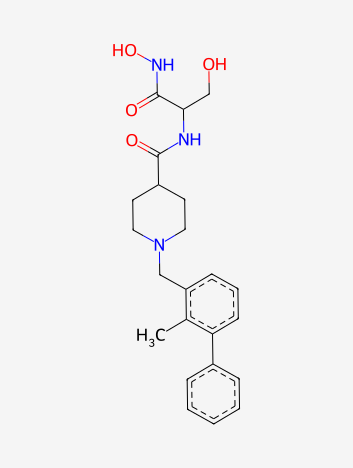 Cc1c(CN2CCC(C(=O)NC(CO)C(=O)NO)CC2)cccc1-c1ccccc1